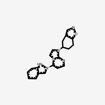 c1ccc2[nH][n+](-c3ccnc4n3cc[n+]4C3CCc4oncc4C3)cc2c1